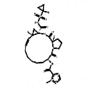 Cn1ncnc1C(=O)N[C@H]1CCCCC/C=C\[C@@H]2C[C@@]2(C(=O)NS(=O)(=O)C2(C)CC2)NC(=O)[C@@H]2CCCN2C1=O